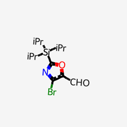 CC(C)[Si](c1nc(Br)c(C=O)o1)(C(C)C)C(C)C